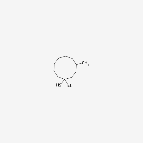 CCC1(S)CCCCCCC(C)CC1